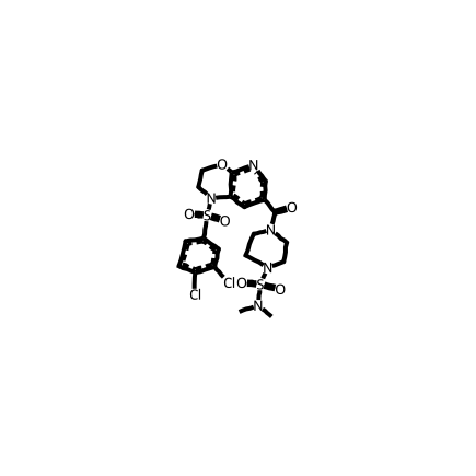 CN(C)S(=O)(=O)N1CCN(C(=O)c2cnc3c(c2)N(S(=O)(=O)c2ccc(Cl)c(Cl)c2)CCO3)CC1